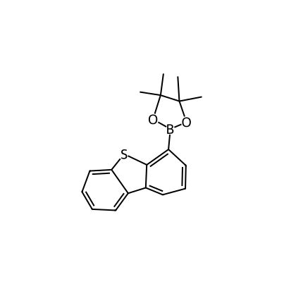 CC1(C)OB(c2cccc3c2sc2ccccc23)OC1(C)C